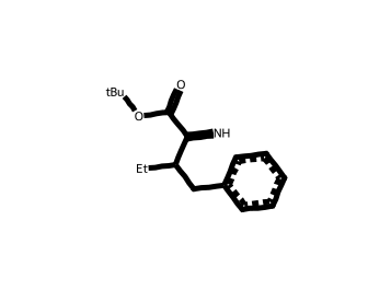 CCC(Cc1ccccc1)C(=N)C(=O)OC(C)(C)C